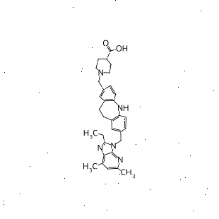 CCc1nc2c(C)cc(C)nc2n1Cc1ccc2c(c1)CCc1cc(CN3CCC(C(=O)O)CC3)ccc1N2